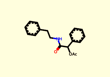 CC(=O)OC(C(=O)NCCc1ccccc1)c1ccccc1